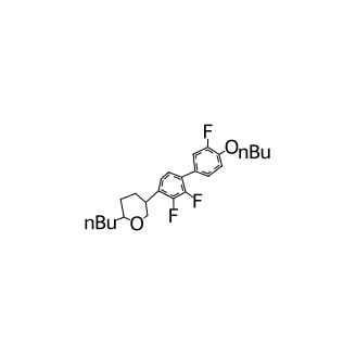 CCCCOc1ccc(-c2ccc(C3CCC(CCCC)OC3)c(F)c2F)cc1F